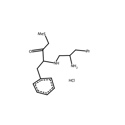 CSCC(=O)C(Cc1ccccc1)NCC(N)CC(C)C.Cl